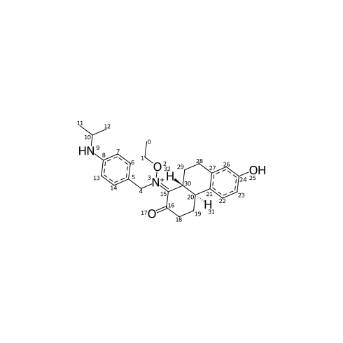 CCO[N+](Cc1ccc(NC(C)C)cc1)=C1C(=O)CC[C@@H]2c3ccc(O)cc3CC[C@@H]12